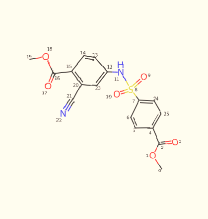 COC(=O)c1ccc(S(=O)(=O)Nc2ccc(C(=O)OC)c(C#N)c2)cc1